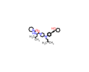 CC(C)=CCN(c1ccc(C#CC2(O)CCCCC2)cc1)C1CCN(C(=O)C(CC(C)C)NC(=O)N2CCCCCC2)CC1